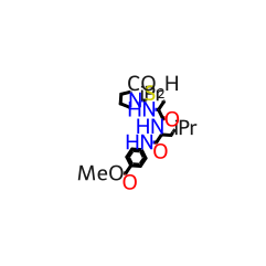 COC(=O)c1ccc(NC(=O)C(CC(C)C)NC(=O)C(CC(C)C)NC(=S)N2CCCC2C(=O)O)cc1